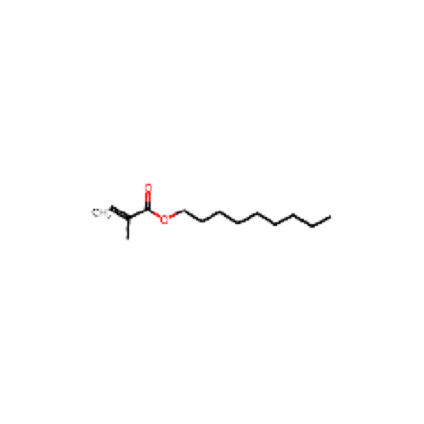 C.C=C(C)C(=O)OCCCCCCCCC